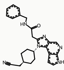 N#CC[C@H]1CC[C@H](n2c(CC(=O)NCc3ccccc3)nc3cnc4[nH]ccc4c32)CC1